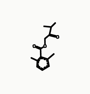 Cc1cccc(C)c1C(=O)OCC(=O)C(C)C